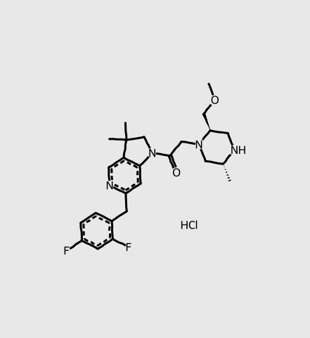 COC[C@H]1CN[C@H](C)CN1CC(=O)N1CC(C)(C)c2cnc(Cc3ccc(F)cc3F)cc21.Cl